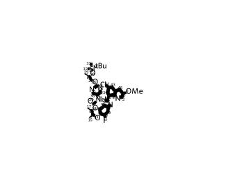 COc1cnc2c(-c3nc4cc(F)c(O[C@@H](C)[C@@H](C)OC(=O)Nc5cnc(OC[C@@H](C)O[Si](C)(C)C(C)(C)C)nc5)cc4s3)cc(Cl)cc2c1